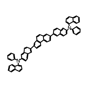 c1ccc(N(c2ccc3cc(-c4ccc5c(ccc6cc(-c7ccc8cc(N(c9ccccc9)c9cccc%10ccccc9%10)ccc8c7)ccc65)c4)ccc3c2)c2cccc3ccccc23)cc1